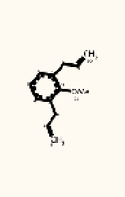 C=CCc1c[c]cc(CC=C)c1OC